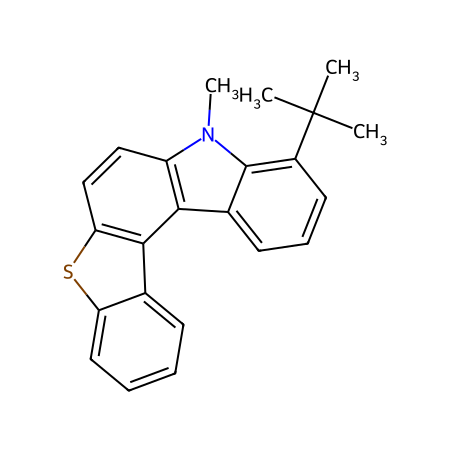 Cn1c2ccc3sc4ccccc4c3c2c2cccc(C(C)(C)C)c21